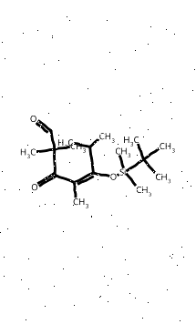 CC(C(=O)C(C)(C)C=O)=C(O[Si](C)(C)C(C)(C)C)C(C)C